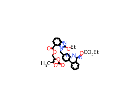 CCOC(=O)ON=C(N)c1ccccc1-c1ccc(Cn2c(OCC)nc3cccc(C(=O)OCc4oc(=O)oc4C)c32)cc1